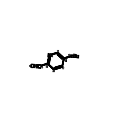 CCCCc1ccc([C]=O)nc1